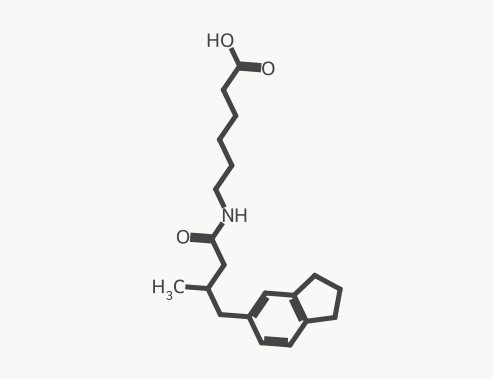 CC(CC(=O)NCCCCCC(=O)O)Cc1ccc2c(c1)CCC2